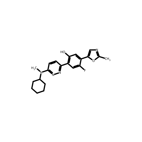 Cc1ncc(-c2cc(O)c(-c3ccc(N(C)C4CCCCC4)nn3)cc2F)o1